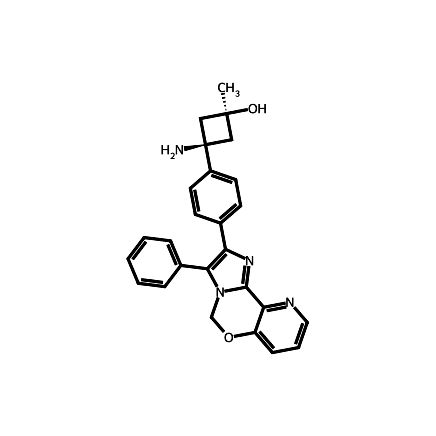 C[C@]1(O)C[C@](N)(c2ccc(-c3nc4n(c3-c3ccccc3)COc3cccnc3-4)cc2)C1